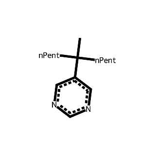 CCCCCC(C)(CCCCC)c1cncnc1